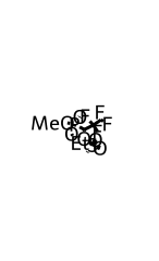 CCOP(=O)(OC)C(OS(C)(=O)=O)C(F)(F)C(F)F